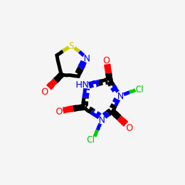 O=C1C=NSC1.O=c1[nH]c(=O)n(Cl)c(=O)n1Cl